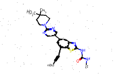 CCCCC#Cc1cc(-c2cnc(N3CCC(C)(C(=O)O)CC3)nc2)cc2nc(NC(=O)NCC)sc12